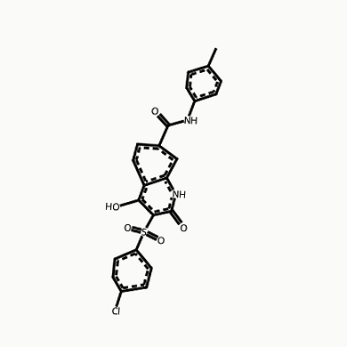 Cc1ccc(NC(=O)c2ccc3c(O)c(S(=O)(=O)c4ccc(Cl)cc4)c(=O)[nH]c3c2)cc1